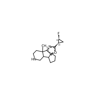 CC1(c2noc([C@@H]3C[C@@H]3F)n2)CCNCC1C1CCCC1